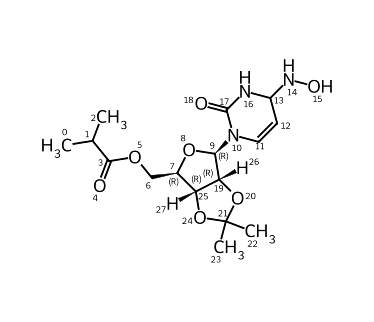 CC(C)C(=O)OC[C@H]1O[C@@H](N2C=CC(NO)NC2=O)[C@@H]2OC(C)(C)O[C@@H]21